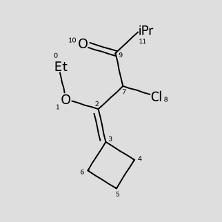 CCOC(=C1CCC1)C(Cl)C(=O)C(C)C